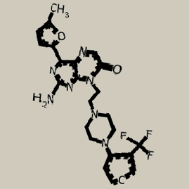 Cc1ccc(-c2nc(N)nc3c2ncc(=O)n3CCN2CCN(c3ccccc3C(F)(F)F)CC2)o1